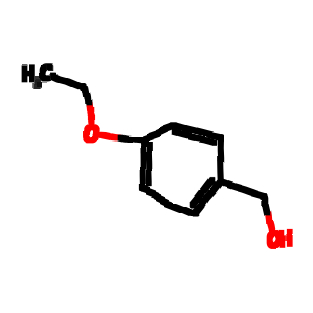 CCOc1ccc(CO)cc1